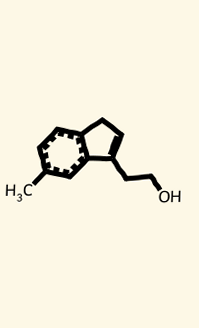 Cc1ccc2c(c1)C(CCO)=CC2